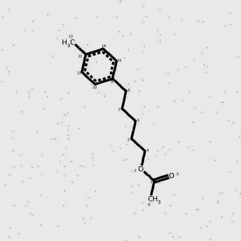 CC(=O)OCCCCCc1ccc(C)cc1